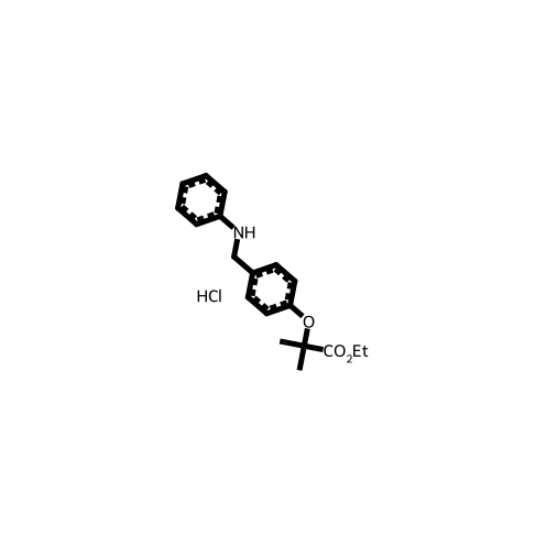 CCOC(=O)C(C)(C)Oc1ccc(CNc2ccccc2)cc1.Cl